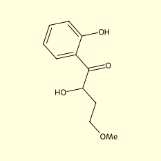 COCCC(O)C(=O)c1ccccc1O